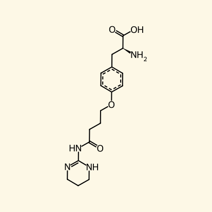 N[C@@H](Cc1ccc(OCCCC(=O)NC2=NCCCN2)cc1)C(=O)O